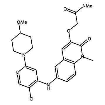 CNC(=O)COc1cc2cc(Nc3cc(N4CCC(OC)CC4)ncc3Cl)ccc2n(C)c1=O